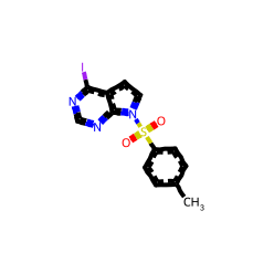 Cc1ccc(S(=O)(=O)n2ccc3c(I)ncnc32)cc1